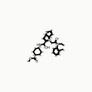 CCN(C(=O)Cn1c(C(O)N[C@H]2CC[C@H](C(=O)OC)CC2)cc2sccc21)c1ccccc1C